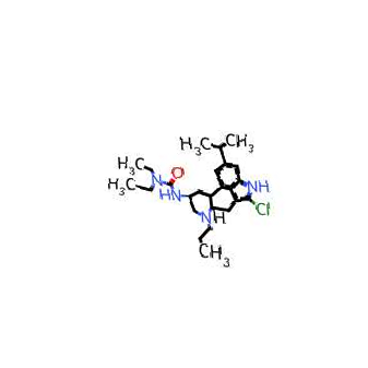 CCCN1C[C@@H](NC(=O)N(CC)CC)CC2c3cc(C(C)C)cc4[nH]c(Cl)c(c34)C[C@H]21